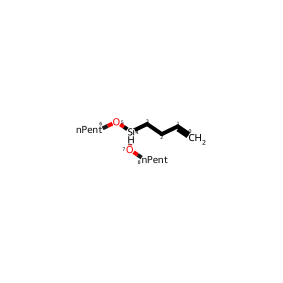 C=CCC[SiH](OCCCCC)OCCCCC